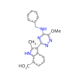 COc1nnc(-c2c(C)[nH]c3c(C(=O)O)cccc23)nc1NCc1ccccc1